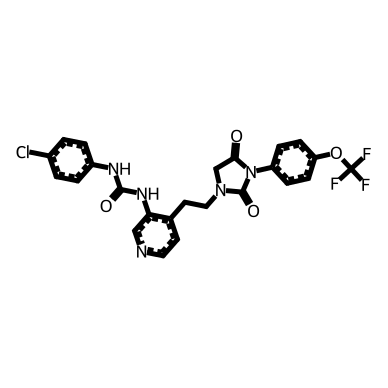 O=C(Nc1ccc(Cl)cc1)Nc1cnccc1CCN1CC(=O)N(c2ccc(OC(F)(F)F)cc2)C1=O